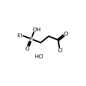 CCP(=O)(O)CCC(=O)Cl.Cl